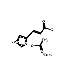 CC(=O)[O-].O=C([O-])C=Cc1c[nH]cn1.[Mn+2]